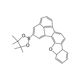 CC1(C)OB(c2cc3c4c(cccc4c2)-c2ccc4c(c2-3)OC2C=CC=CC42)OC1(C)C